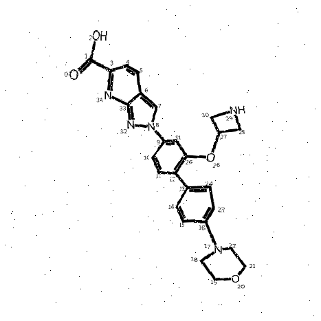 O=C(O)c1ccc2cn(-c3ccc(-c4ccc(N5CCOCC5)cc4)c(OC4CNC4)c3)nc2n1